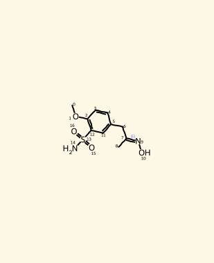 COc1ccc(C/C(C)=N/O)cc1S(N)(=O)=O